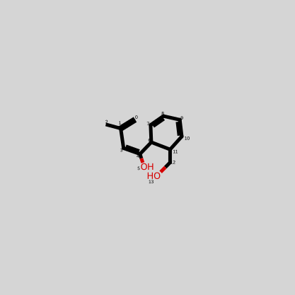 C=C(C)/C=C(/O)C1C=CC=CC1CO